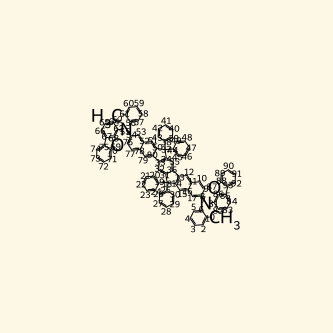 Cc1ccccc1N(c1ccc2cc3c(cc2c1)C(c1ccccc1)(c1ccccc1)c1cc2c(cc1-3)C(c1ccccc1)(c1ccccc1)c1cc3cc(N(c4ccccc4C)c4cccc5c4oc4ccccc45)ccc3cc1-2)c1cccc2c1oc1ccccc12